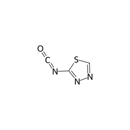 O=C=Nc1nncs1